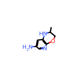 CC1COc2ncc(N)cc2N1